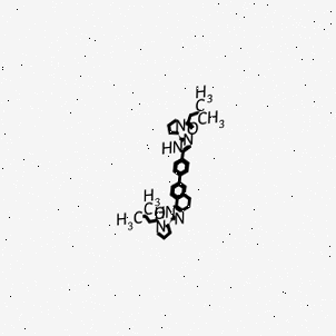 CC(C)CC(=O)N1CCC[C@H]1c1ncc(-c2ccc(-c3ccc4c(c3)CCc3nc([C@@H]5CCCN5C(=O)CC(C)C)[nH]c3-4)cc2)[nH]1